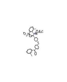 CC(=O)O/N=C(/C(=O)c1ccc(Sc2ccc(C(=O)c3ccccc3C)cc2)cc1)c1c(C)cccc1[N+](=O)[O-]